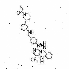 C=CC(=O)N1CCCC(c2cccc(NCc3ccc(Nc4ncc(C(F)(F)F)c(Nc5ccccc5CNC(C)C)n4)cc3)c2)C1